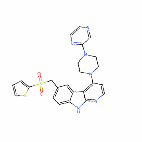 O=S(=O)(Cc1ccc2[nH]c3nccc(N4CCN(c5cnccn5)CC4)c3c2c1)c1cccs1